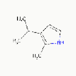 [CH2]c1[nH]ccc1C(C)C